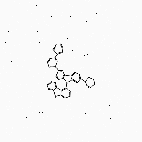 c1ccc(-c2cccc(-c3ccc4c(c3)c3ccc(C5CCCCC5)cc3n4-c3cccc4sc5ccccc5c34)n2)cc1